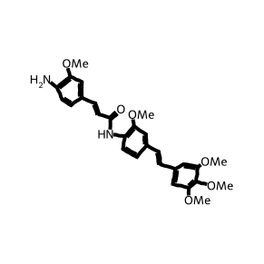 COc1cc(/C=C/C(=O)Nc2ccc(/C=C/c3cc(OC)c(OC)c(OC)c3)cc2OC)ccc1N